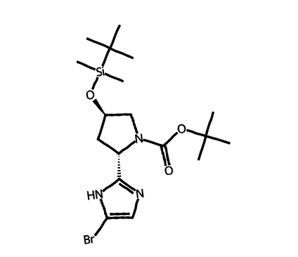 CC(C)(C)OC(=O)N1C[C@H](O[Si](C)(C)C(C)(C)C)C[C@H]1c1ncc(Br)[nH]1